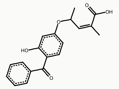 CC(=CC(C)Oc1ccc(C(=O)c2ccccc2)c(O)c1)C(=O)O